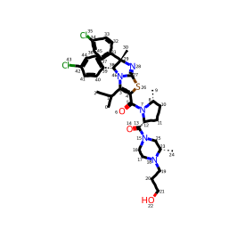 CC(C)C1=C(C(=O)N2[C@H](C)CC[C@@H]2C(=O)N2CCN(CCCO)[C@@H](C)C2)SC2=N[C@@](C)(c3ccc(Cl)cc3)[C@@H](c3ccc(Cl)cc3)N21